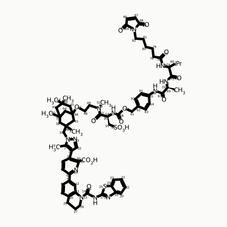 Cc1c(-c2ccc(-c3ccc4c(c3)N(C(=O)Nc3nc5ccccc5s3)CCC4)nc2C(=O)O)cnn1CC1(C)CC2(C)CC(C)(C)CC(OCCN(C)C(=O)[C@H](CS(=O)(=O)O)NC(=O)OCc3ccc(NC(=O)[C@H](C)NC(=O)C(NC(=O)CCCCCN4C(=O)C=CC4=O)C(C)C)cc3)(C1)C2